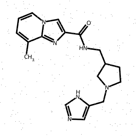 Cc1cccn2cc(C(=O)NCC3CCN(Cc4cnc[nH]4)C3)nc12